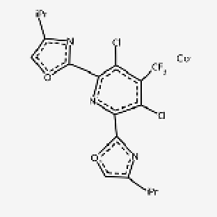 CC(C)c1coc(-c2nc(-c3nc(C(C)C)co3)c(Cl)c(C(F)(F)F)c2Cl)n1.[Co]